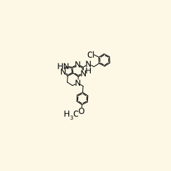 COc1ccc(CN2CCc3n[nH]c4nc(NCc5ccccc5Cl)nc2c34)cc1